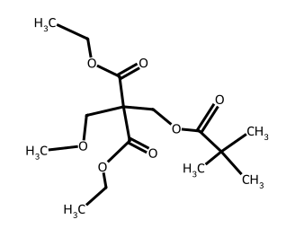 CCOC(=O)C(COC)(COC(=O)C(C)(C)C)C(=O)OCC